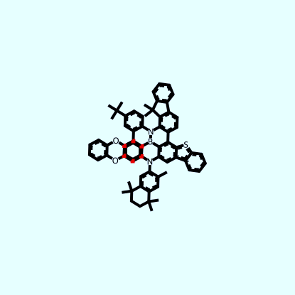 Cc1cc2c(cc1N1c3cc4c(cc3B3c5c1cc1c(sc6ccccc61)c5-c1ccc5c(c1N3c1ccc(C(C)(C)C)cc1-c1ccccc1)C(C)(C)c1ccccc1-5)Oc1ccccc1O4)C(C)(C)CCC2(C)C